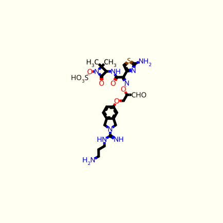 CC1(C)C(NC(=O)/C(=N\OC(C=O)COc2ccc3c(c2)CN(C(=N)NCCCN)C3)c2csc(N)n2)C(=O)N1OS(=O)(=O)O